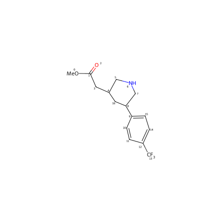 COC(=O)CC1CNCC(c2ccc(C(F)(F)F)cc2)C1